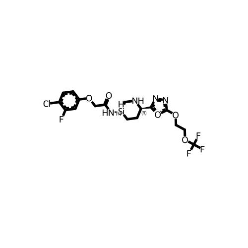 O=C(COc1ccc(Cl)c(F)c1)N[Si@H]1CC[C@H](c2nnc(OCCOC(F)(F)F)o2)NC1